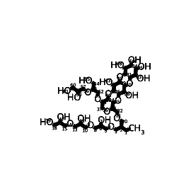 CCC(COCC(O)COCC(O)COCC(O)CO)COCC(COCC(O)COCC(O)CO)OCC(COCC(O)COCC(O)CO)OCC(CO)OCC(O)CO